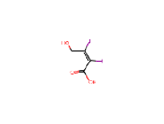 O=C(O)/C(I)=C(/I)CO